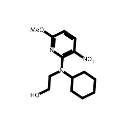 COc1ccc([N+](=O)[O-])c(N(CCO)C2CCCCC2)n1